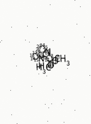 COc1cc2nc3c(c(NC4CCCCC4)c2cc1OC)CCCCC3